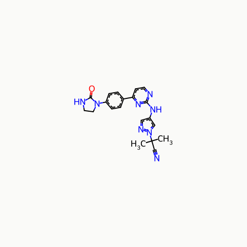 CC(C)(C#N)n1cc(Nc2nccc(-c3ccc(N4CCNC4=O)cc3)n2)cn1